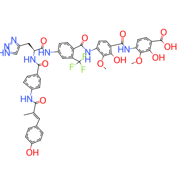 COc1c(NC(=O)c2ccc(NC(=O)c3ccc(NC(=O)[C@H](Cc4c[nH]nn4)NC(=O)c4ccc(NC(=O)/C(C)=C/c5ccc(O)cc5)cc4)cc3C(F)(F)F)c(OC)c2O)ccc(C(=O)O)c1O